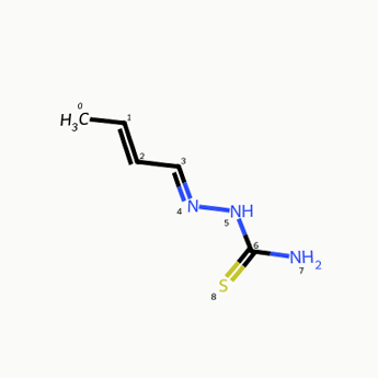 CC=CC=NNC(N)=S